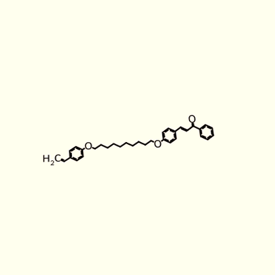 C=Cc1ccc(OCCCCCCCCCCOc2ccc(C=CC(=O)c3ccccc3)cc2)cc1